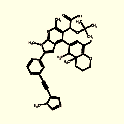 Cc1nc2c(cc(-c3ccnc(C#Cc4cncn4C)c3)n2C)c(C2=CC(F)=C3OCCCC3(C)C2C)c1[C@H](OC(C)(C)C)C(=O)O